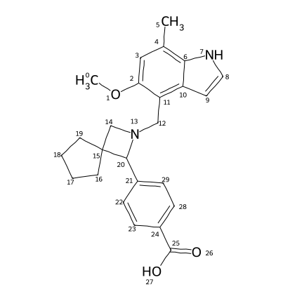 COc1cc(C)c2[nH]ccc2c1CN1CC2(CCCC2)C1c1ccc(C(=O)O)cc1